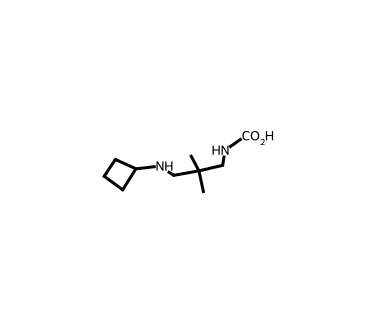 CC(C)(CNC(=O)O)CNC1CCC1